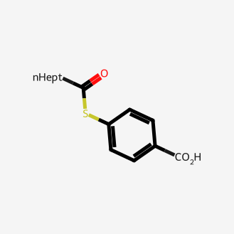 CCCCCCCC(=O)Sc1ccc(C(=O)O)cc1